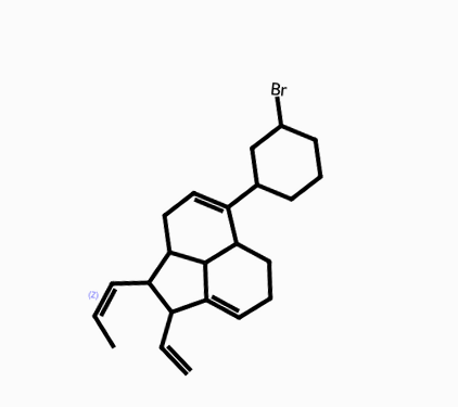 C=CC1C2=CCCC3C(C4CCCC(Br)C4)=CCC(C1/C=C\C)C23